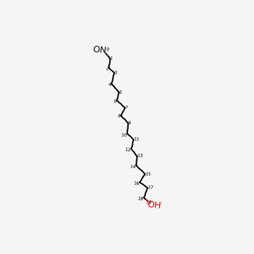 O=NCCCCCCCCCCCCCCCCCCO